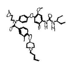 CCCCN1CCC(Oc2ccc(C(=O)N(CCOC)c3ccc(Oc4cc(F)c(NC(=O)NC(CC)CC)cc4OC)cc3)cc2C)CC1